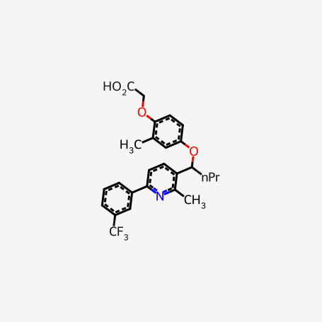 CCCC(Oc1ccc(OCC(=O)O)c(C)c1)c1ccc(-c2cccc(C(F)(F)F)c2)nc1C